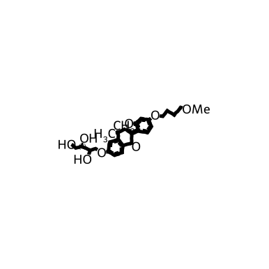 COCCCCOc1ccc2c3c(oc2c1)C(C)(C)c1cc(OCC(O)[C@H](O)CO)ccc1C3=O